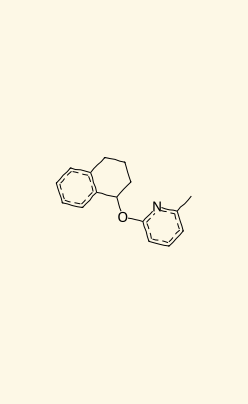 Cc1cccc(OC2CCCc3ccccc32)n1